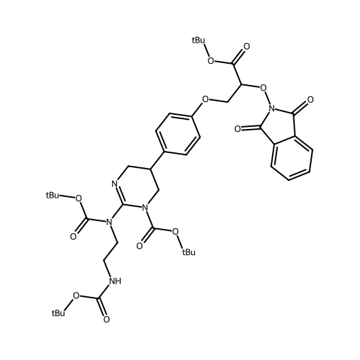 CC(C)(C)OC(=O)NCCN(C(=O)OC(C)(C)C)C1=NCC(c2ccc(OCC(ON3C(=O)c4ccccc4C3=O)C(=O)OC(C)(C)C)cc2)CN1C(=O)OC(C)(C)C